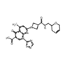 Cc1cc(N2CC(C(=O)NCC3CC=CCO3)C2)nc2c1c(=O)c(C(=O)O)cn2-c1ncns1